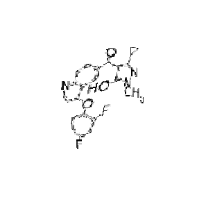 Cn1nc(C2CC2)c(C(=O)c2ccc3nccc(Oc4ccc(F)cc4F)c3c2)c1O